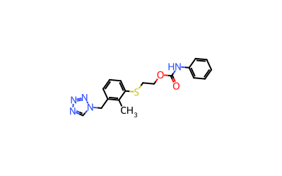 Cc1c(Cn2cnnn2)cccc1SCCOC(=O)Nc1ccccc1